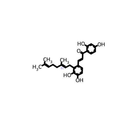 CC(C)=CCC/C(C)=C/Cc1c(C=CC(=O)c2ccc(O)cc2O)ccc(O)c1O